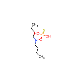 CCCCN(CCCC)OP(O)(O)=S